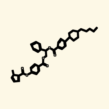 CCCCCC1CCC(c2ccc(C(=O)OC(COC(=O)c3ccc(OC(=O)C4=CC=CC4C)cc3)c3ccccc3)cc2)CC1